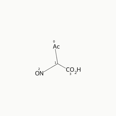 CC(=O)C(N=O)C(=O)O